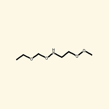 CCOCONCCOOC